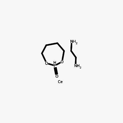 NCCN.O=[PH]1OCCCCO1.[Ce]